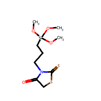 CO[Si](CCCN1C(=O)CSC1=S)(OC)OC